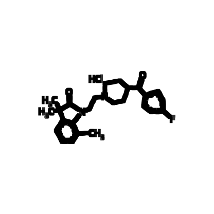 Cc1cccc2c1N(CCN1CCC(C(=O)c3ccc(F)cc3)CC1)C(=O)C2(C)C.Cl